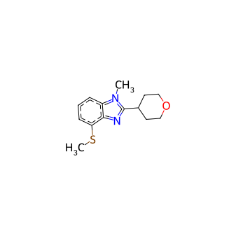 CSc1cccc2c1nc(C1CCOCC1)n2C